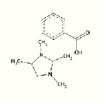 CC1CN(C)C(C)N1C.O=C(O)c1ccccc1